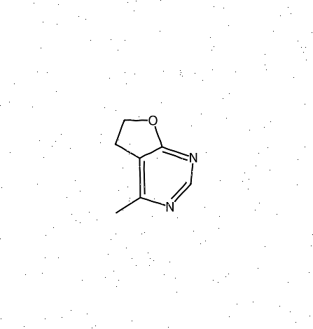 Cc1ncnc2c1CCO2